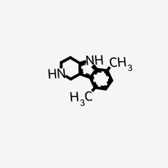 Cc1ccc(C)c2c3c([nH]c12)CCNC3